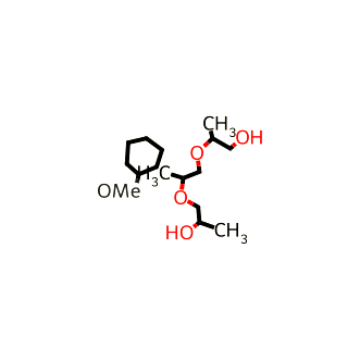 CC(O)COC(C)COC(C)CO.COC1CCCCC1